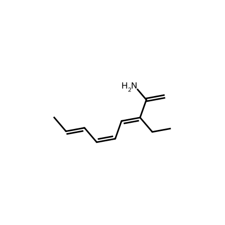 C=C(N)/C(=C/C=C\C=C\C)CC